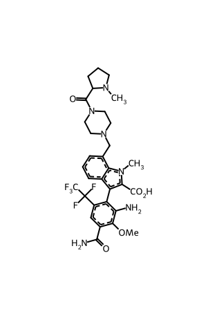 COc1c(C(N)=O)cc(C(F)(F)C(F)(F)F)c(-c2c(C(=O)O)n(C)c3c(CN4CCN(C(=O)C5CCCN5C)CC4)cccc23)c1N